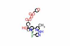 Cc1cc(Nc2cc(C(F)F)ccn2)nc(-c2ccc([C@](C)(O)[C@H]3CC[C@H](C(=O)OCOC(=O)OCC4CCOCC4)CC3)nc2)c1